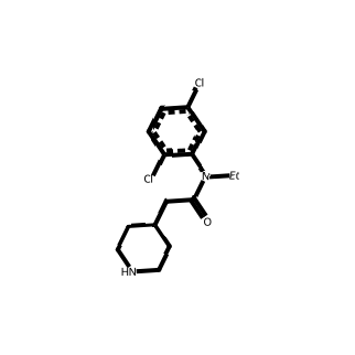 CCN(C(=O)CC1CCNCC1)c1cc(Cl)ccc1Cl